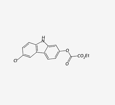 CCOC(=O)C(=O)Oc1ccc2c(c1)[nH]c1ccc(Cl)cc12